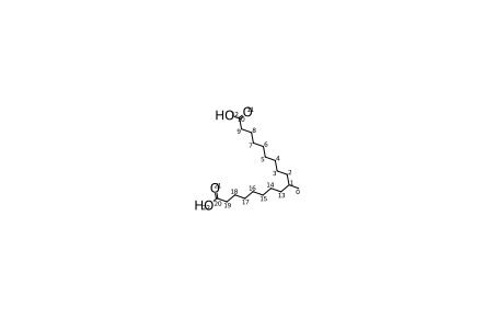 CC(CCCCCCCCC(=O)O)CCCCCCCC(=O)O